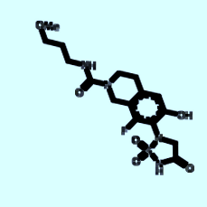 COCCCNC(=O)N1CCc2cc(O)c(N3CC(=O)NS3(=O)=O)c(F)c2C1